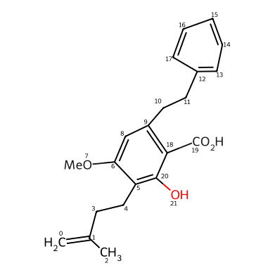 C=C(C)CCc1c(OC)cc(CCc2ccccc2)c(C(=O)O)c1O